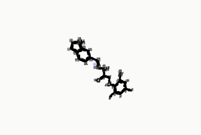 Cc1cc(C)c(OCC(=O)N/N=C/c2ccc3cc[nH]c3c2)c(Br)c1